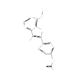 CC(=O)Nc1ccc(-c2sc3c(NN)ncnc3c2C)cc1